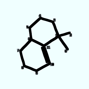 CC1(C)CCCC2CCCC=C21